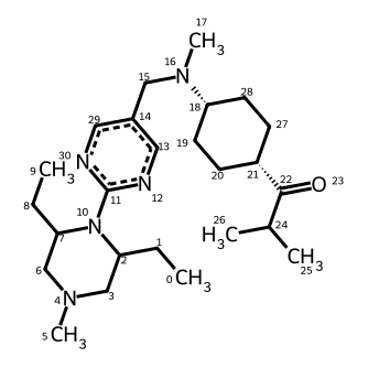 CCC1CN(C)CC(CC)N1c1ncc(CN(C)[C@H]2CC[C@@H](C(=O)C(C)C)CC2)cn1